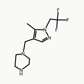 Cc1c(CN2CCNCC2)cnn1CC(F)(F)F